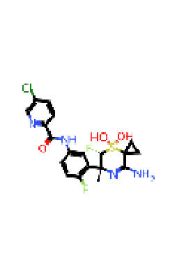 C[C@]1(c2cc(NC(=O)c3ccc(Cl)cn3)ccc2F)N=C(N)C2(CC2)S(O)(O)[C@H]1F